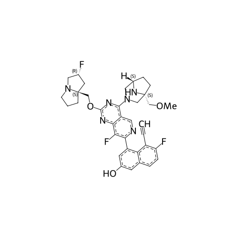 C#Cc1c(F)ccc2cc(O)cc(-c3ncc4c(N5C[C@@H]6CC[C@@](COC)(C5)N6)nc(OC[C@@]56CCCN5C[C@H](F)C6)nc4c3F)c12